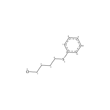 ClCCCCSc1ccccc1